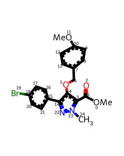 COC(=O)c1c(OCc2ccc(OC)cc2)c(-c2ccc(Br)cc2)nn1C